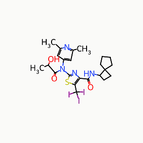 Cc1cc(N(C(=O)C(C)O)c2nc(C(=O)NC3CCC34CCCC4)c(C(I)(I)I)s2)cc(C)n1